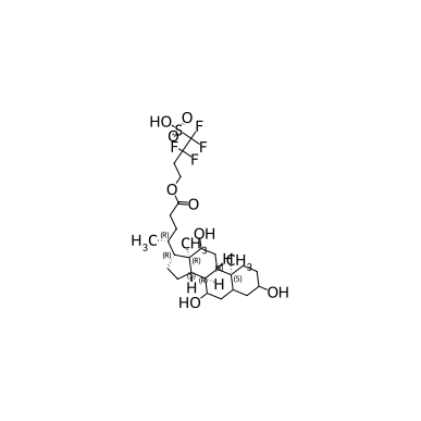 C[C@H](CCC(=O)OCCC(F)(F)C(F)(F)S(=O)(=O)O)[C@H]1CC[C@H]2[C@@H]3C(O)CC4CC(O)CC[C@]4(C)[C@H]3CC(O)[C@]12C